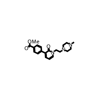 COC(=O)c1ccc(-c2cccn(CCN3CCN(C)CC3)c2=O)cc1